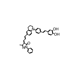 CC1=NN(c2ccccc2)C(=O)/C1=C\C=C\c1ccc2c(c1)CCCN2c1ccc(/C=C/c2ccc(O)c(O)c2)cc1